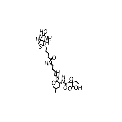 CC[C@]1(C(=O)O)O[C@H]1C(=O)N[C@@H](CC(C)C)C(=O)NCCCCNC(=O)CCCC[C@@H]1SC[C@@H]2NC(=O)N[C@@H]21